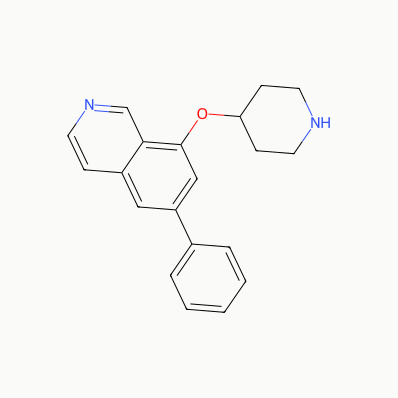 c1ccc(-c2cc(OC3CCNCC3)c3cnccc3c2)cc1